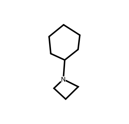 C1CCC(N2CCC2)CC1